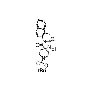 CCN1C(=O)N(c2ccc3ccccc3c2C)C(=O)C12CCN(C(=O)OC(C)(C)C)CC2